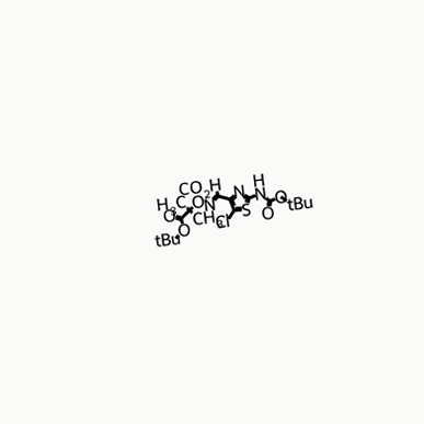 CC(C)(C)OC(=O)Nc1nc(/C(=N/OC(C)(C)C(=O)OC(C)(C)C)C(=O)O)c(Cl)s1